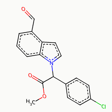 COC(=O)C(c1ccc(Cl)cc1)n1ccc2c(C=O)cccc21